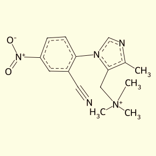 Cc1ncn(-c2ccc([N+](=O)[O-])cc2C#N)c1C[N+](C)(C)C